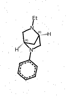 CCN1C[C@H]2C[C@@H]1CN2c1ccccc1